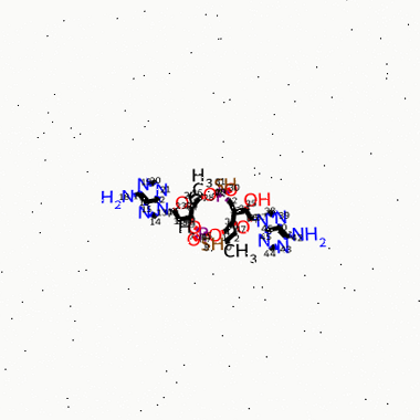 CCC[C@@]12CO[P@@](=O)(S)O[C@H]3C[C@H](n4cnc5c(N)ncnc54)O[C@]3(CC)CO[P@@](=O)(S)CC1=C(O)[C@H](n1cnc3c(N)ncnc31)O2